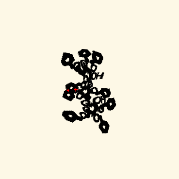 OC1[C@@H](O[C@@H]2C(OCc3ccccc3)[C@@H](Sc3ccccc3)OC(CO[C@H]3OC(COCc4ccccc4)[C@@H](OCc4ccccc4)[C@@H](OCc4ccccc4)C3O)[C@@H]2OCc2ccccc2)OC(COCc2ccccc2)[C@@H](OCc2ccccc2)[C@@H]1OCc1ccccc1